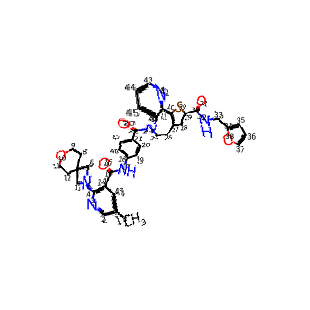 Cc1cnc(N2CC3(CCOCC3)C2)c(C(=O)Nc2ccc(C(=O)N3CCc4cc(C(=O)NCc5ccco5)sc4-c4ncccc43)cc2)c1